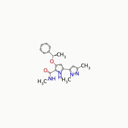 CNC(=O)c1[nH]c(-c2cc(C)nn2C)cc1O[C@H](C)c1ccccc1